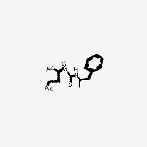 CC(=O)CCC(NC(=O)NC(C)Cc1ccccc1)C(C)=O